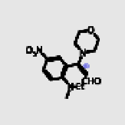 CCN(C)c1ccc([N+](=O)[O-])cc1/C(=C\C=O)N1CCOCC1